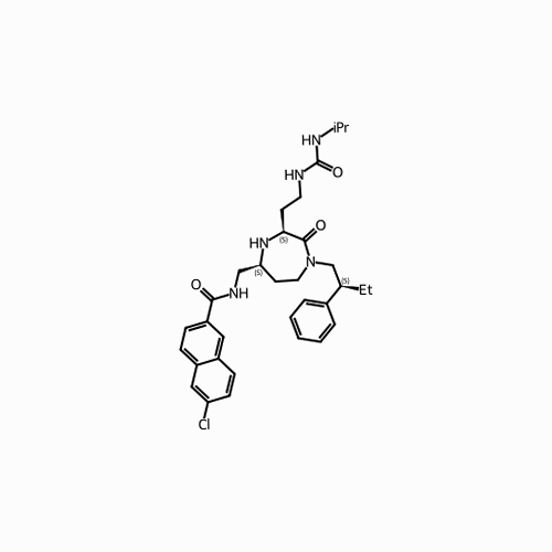 CC[C@H](CN1CC[C@@H](CNC(=O)c2ccc3cc(Cl)ccc3c2)N[C@@H](CCNC(=O)NC(C)C)C1=O)c1ccccc1